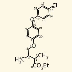 CCOC(=O)C(C)C(C)COc1ccc(Oc2ccc(Cl)cc2)cc1